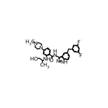 CC(CO)Nc1cc(N2CCN(C)CC2)ccc1C(=O)Nc1n[nH]c2ccc(Cc3cc(F)cc(F)c3)cc12